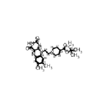 Cc1cc2nc3c(=O)[nH]c(=O)nc-3n(CCN3CCC(C(=O)OC(C)(C)C)CC3)c2cc1C